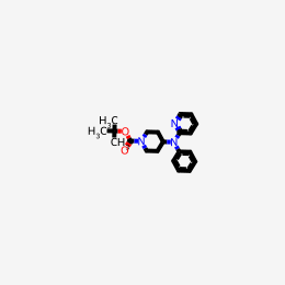 CC(C)(C)OC(=O)N1CCC(N(c2ccccc2)c2ccccn2)CC1